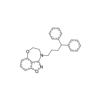 c1ccc(C(CCCN2CCOc3cccc4onc2c34)c2ccccc2)cc1